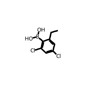 CCc1cc(Cl)cc(Cl)c1B(O)O